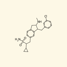 CNC1Cc2ccc(CC(C3CC3)S(N)(=O)=O)cc2C1Cc1cccc(Cl)c1